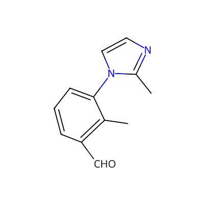 Cc1c(C=O)cccc1-n1ccnc1C